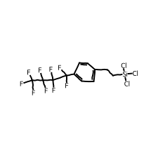 FC(F)(F)C(F)(F)C(F)(F)C(F)(F)c1ccc(CC[Si](Cl)(Cl)Cl)cc1